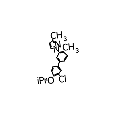 Cc1ccn(-c2cc(-c3ccc(OC(C)C)c(Cl)c3)ccc2C)n1